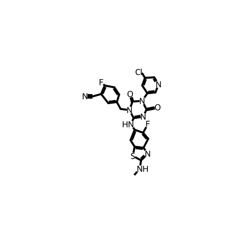 CNc1nc2cc(F)c(Nc3nc(=O)n(-c4cncc(Cl)c4)c(=O)n3Cc3ccc(F)c(C#N)c3)cc2s1